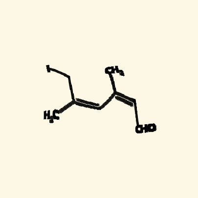 CC(=C/C=O)/C=C(/C)CI